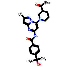 CNC(=O)C1CCCN(c2cc(NC(=O)c3ccc(C(C)(C)O)cc3)nc3cc(C)nn23)C1